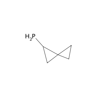 PC1CC12CC2